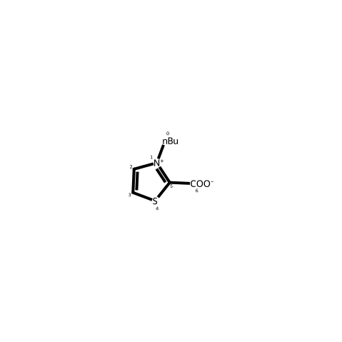 CCCC[n+]1ccsc1C(=O)[O-]